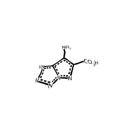 Nc1c(C(=O)O)nn2nn[nH]c12